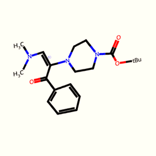 CN(C)/C=C(\C(=O)c1ccccc1)N1CCN(C(=O)OC(C)(C)C)CC1